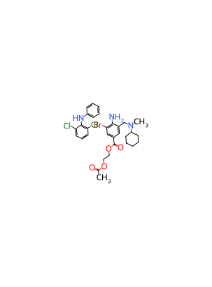 CC(=O)OCCOC(=O)c1cc(Br)c(N)c(CN(C)C2CCCCC2)c1.Clc1cccc(Cl)c1Nc1ccccc1